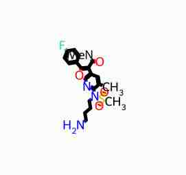 CNC(=O)c1c(-c2ccc(F)cc2)oc2nc(N(CCCCN)S(C)(=O)=O)c(C)cc12